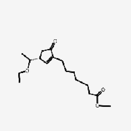 CCOC(C)[C@H]1C=C(CCCCCCC(=O)OC)C(=O)C1